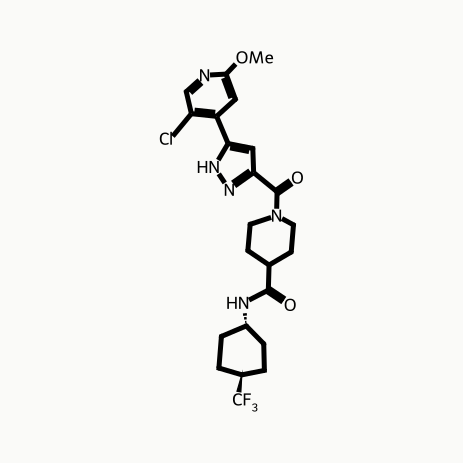 COc1cc(-c2cc(C(=O)N3CCC(C(=O)N[C@H]4CC[C@H](C(F)(F)F)CC4)CC3)n[nH]2)c(Cl)cn1